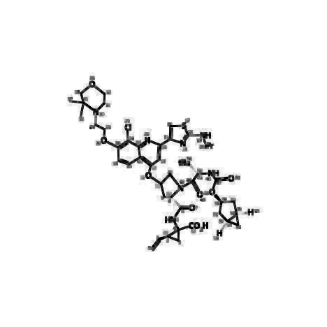 C=C[C@@H]1CC1(NC(=O)[C@@H]1CC(Oc2cc(-c3csc(NC(C)C)n3)nc3c(Cl)c(OCCN4CCOCC4(C)C)ccc23)CN1C(=O)[C@@H](NC(=O)O[C@@H]1C[C@@H]2C[C@@H]2C1)C(C)(C)C)C(=O)O